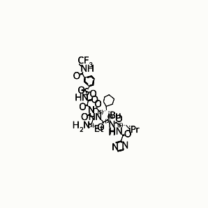 CC[C@H](N)CC(=O)N(C(=O)C(=O)NS(=O)(=O)c1cccc(C(=O)NCC(F)(F)F)c1)C(=O)[C@H](CC1CCCCC1)NC(=O)[C@@H](NC(=O)[C@H](CC(C)C)NC(=O)c1cnccn1)[C@@H](C)CC